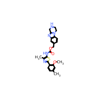 COc1cc(C)ccc1-c1nc(C)c(NC(=O)OCc2ccc3c(c2)nc2n3CCNC2)s1